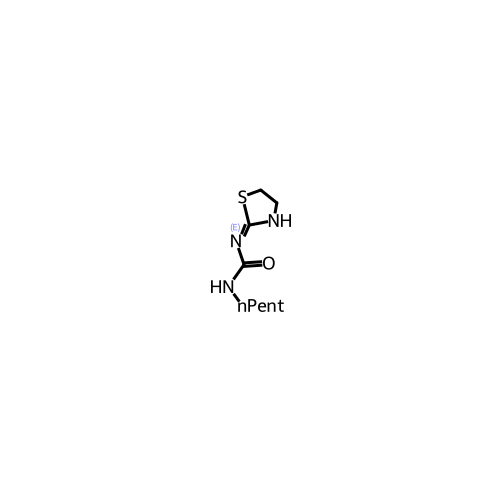 CCCCCNC(=O)/N=C1\NCCS1